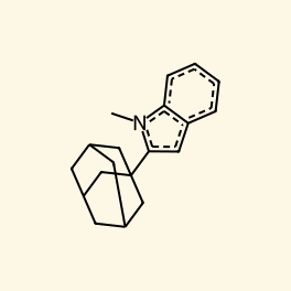 Cn1c(C23CC4CC(CC(C4)C2)C3)cc2ccccc21